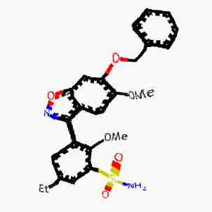 CCc1cc(-c2noc3cc(OCc4ccccc4)c(OC)cc23)c(OC)c(S(N)(=O)=O)c1